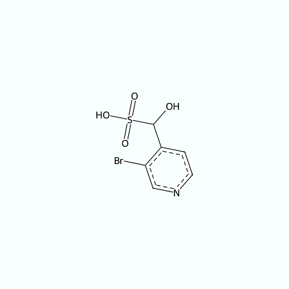 O=S(=O)(O)C(O)c1ccncc1Br